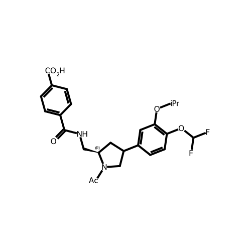 CC(=O)N1CC(c2ccc(OC(F)F)c(OC(C)C)c2)C[C@@H]1CNC(=O)c1ccc(C(=O)O)cc1